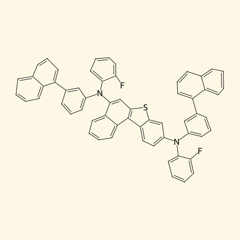 Fc1ccccc1N(c1cccc(-c2cccc3ccccc23)c1)c1ccc2c(c1)sc1cc(N(c3cccc(-c4cccc5ccccc45)c3)c3ccccc3F)c3ccccc3c12